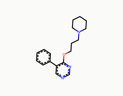 c1ccc(-c2cncnc2OCCCN2CCCCC2)cc1